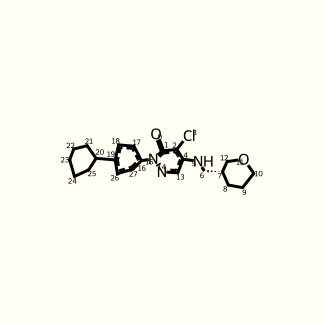 O=c1c(Cl)c(NC[C@H]2CCCOC2)cnn1-c1ccc(C2CCCCC2)cc1